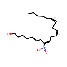 CCCCC/C=C\C/C=C\C/C=C(\CCCCCC[C]=O)[N+](=O)[O-]